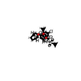 O=C(NS(=O)(=O)C1CC1)c1cc(C2CC2)c(CN2[C@@H]3CC[C@H]2CC(Oc2cc(Cl)cc(Cl)c2)C3)cc1F